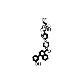 O=C(NS(=O)(=O)CCC(F)(F)F)c1ccc(N2CCN(C(=O)c3ccc(-c4cccc(O)c4)c4ccccc34)CC2)nn1